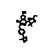 CCC(=O)N[C@@H](C(=O)N1C[C@@H](O)C[C@@H]1C(=O)NCc1ccc(-c2scnc2C)cc1)C(C)(C)C